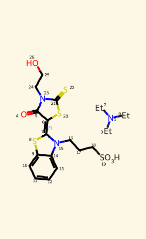 CCN(CC)CC.O=C1/C(=C2\Sc3ccccc3N2CCCS(=O)(=O)O)SC(=S)N1CCO